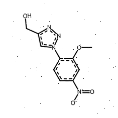 COc1cc([N+](=O)[O-])ccc1-n1cc(CO)nn1